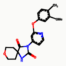 COc1cc(Oc2cc(N3C(=O)NC4(CCOCC4)C3=O)ccn2)ccc1C